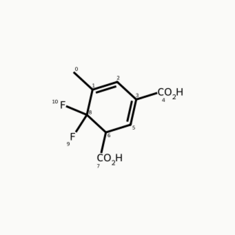 CC1=CC(C(=O)O)=CC(C(=O)O)C1(F)F